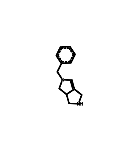 C1=C2CNCC2CN1Cc1ccccc1